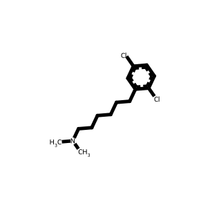 CN(C)CCCCCCc1cc(Cl)ccc1Cl